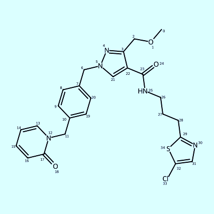 COCc1nn(Cc2ccc(Cn3ccccc3=O)cc2)cc1C(=O)NCCCc1ncc(Cl)s1